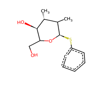 CC1[C@@H](Sc2ccccc2)OC(CO)[C@@H](O)[C@@H]1C